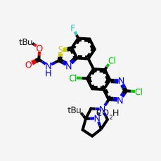 CC(C)(C)OC(=O)Nc1nc2c(-c3c(Cl)cc4c(N5CC6CCC(C(C)(C)C)(C5)N6C(=O)O)nc(Cl)nc4c3Cl)ccc(F)c2s1